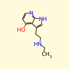 CCNCCc1c[nH]c2nccc(O)c12